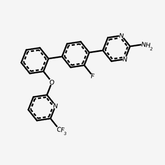 Nc1ncc(-c2ccc(-c3ccccc3Oc3cccc(C(F)(F)F)n3)cc2F)cn1